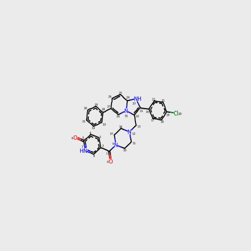 O=C(c1ccc(=O)[nH]c1)N1CCN(CC2=C(c3ccc(Cl)cc3)NC3C=CC(c4ccccc4)=CN23)CC1